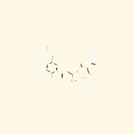 C=C(N)C1=C(O)[C@@H](N(C)C)[C@H](CC)[C@](O)(/C(C)=C/C(=C)c2c(C)c(CNCC(C)CC)cc(N(C)C)c2CC)C1=C